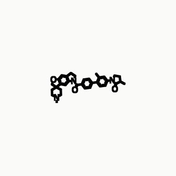 Cc1cc(N2CCC(C)C2=O)ccc1-c1ccc(C(=O)N2CCc3cc4c(cc32)C2(CCN(C)CC2)CO4)cc1